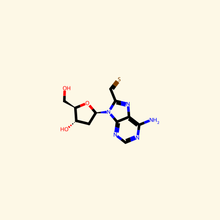 Nc1ncnc2c1nc(C=S)n2[C@H]1C[C@H](O)[C@@H](CO)O1